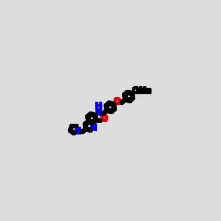 COc1ccc(COc2ccc(C(=O)Nc3ccc4cc(CN5CCCC5)cnc4c3C)cc2)cc1